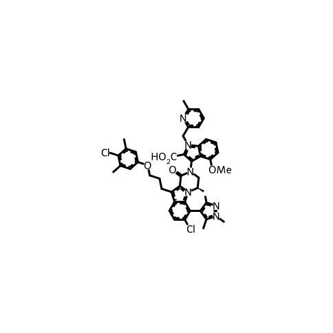 COc1cccc2c1c(N1C[C@@H](C)n3c(c(CCCOc4cc(C)c(Cl)c(C)c4)c4ccc(Cl)c(-c5c(C)nn(C)c5C)c43)C1=O)c(C(=O)O)n2Cc1cccc(C)n1